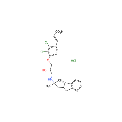 CC(C)(CC1Cc2ccccc2C1)NCC(O)COc1ccc(/C=C/C(=O)O)c(Cl)c1Cl.Cl